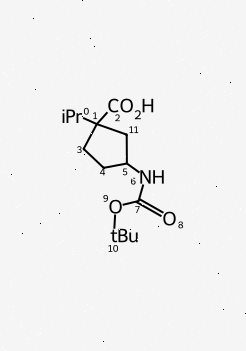 CC(C)C1(C(=O)O)CCC(NC(=O)OC(C)(C)C)C1